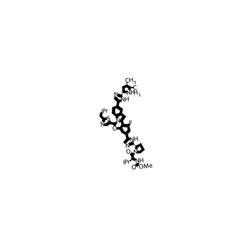 COC(=O)N[C@H](C(=O)N1CCC[C@H]1c1ncc(-c2cc(F)c3c(c2)OC(c2cnc(CC(C)C)s2)n2c-3cc3cc(-c4cnc([C@@H]5C[C@H](C)[C@@H](C)N5)[nH]4)ccc32)[nH]1)C(C)C